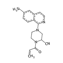 C=CC(=O)N1CCN(c2nccc3cc([SiH3])ccc23)CC1C#N